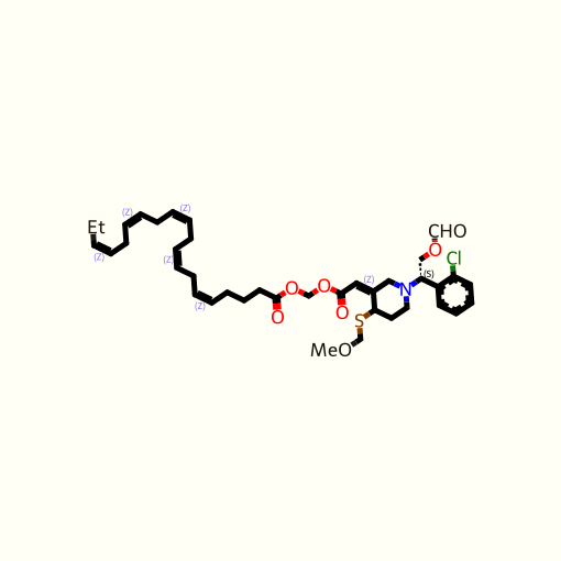 CC/C=C\C/C=C\C/C=C\C/C=C\C/C=C\CCCC(=O)OCOC(=O)/C=C1/CN([C@H](COC=O)c2ccccc2Cl)CCC1SCOC